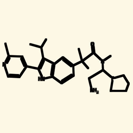 Cc1cc(-c2[nH]c3ccc(C(C)(C)C(=O)N(C)C(CN)P4CCCC4)cc3c2C(C)C)ccn1